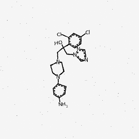 Nc1ccc(N2CCN(CC(O)(Cn3cncn3)c3ccc(Cl)cc3Cl)CC2)cc1